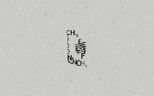 CCCCCCCCn1cc[n+](C)c1.F[B-](F)(F)C(F)(F)C(F)(F)F